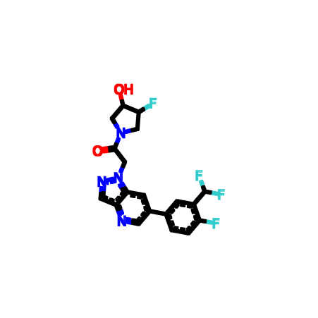 O=C(Cn1ncc2ncc(-c3ccc(F)c(C(F)F)c3)cc21)N1CC(O)C(F)C1